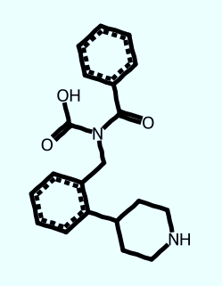 O=C(O)N(Cc1ccccc1C1CCNCC1)C(=O)c1ccccc1